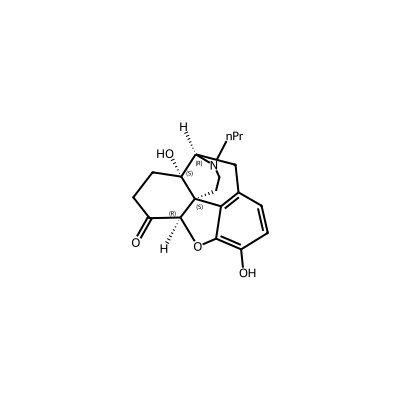 CCCN1CC[C@]23c4c5ccc(O)c4O[C@H]2C(=O)CC[C@@]3(O)[C@H]1C5